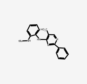 CC(C)(C)Nc1ccccc1Nc1nc(-c2ccccc2)ncc1C(=O)O